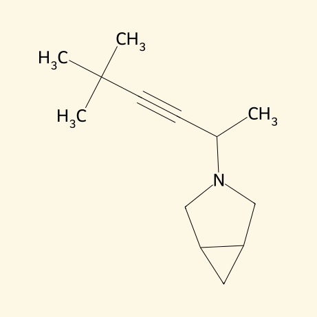 CC(C#CC(C)(C)C)N1CC2CC2C1